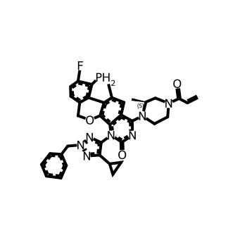 C=CC(=O)N1CCN(c2nc(=O)n(-c3nn(Cc4ccccc4)nc3C3CC3)c3c4c(c(C)cc23)-c2c(ccc(F)c2P)CO4)[C@@H](C)C1